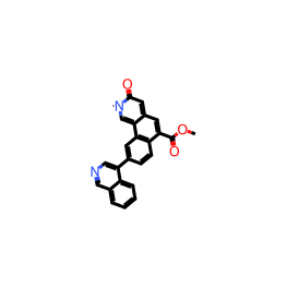 COC(=O)c1cc2c(c3cc(-c4cncc5ccccc45)ccc13)=C[N]C(=O)C=2